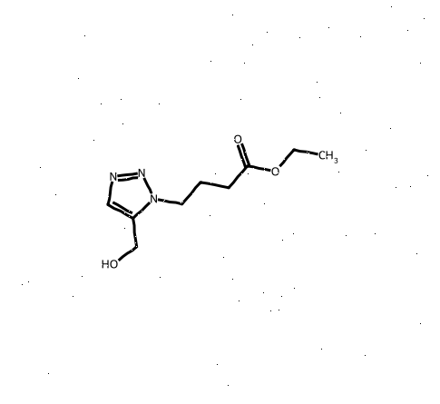 CCOC(=O)CCCn1nncc1CO